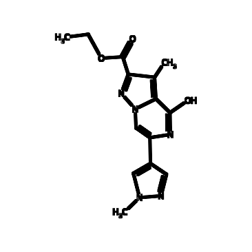 CCOC(=O)c1nn2cc(-c3cnn(C)c3)nc(O)c2c1C